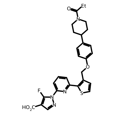 CCC(=O)N1CCC(c2ccc(OCc3ccsc3-c3cccc(-n4ncc(C(=O)O)c4F)n3)cc2)CC1